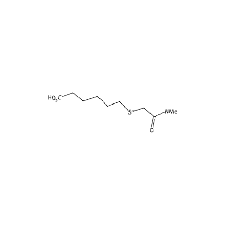 CNC(=O)CSCCCCCC(=O)O